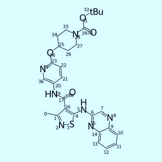 Cc1nsc(Nc2cnc3ccccc3n2)c1C(=O)Nc1ccc(OC2CCN(C(=O)OC(C)(C)C)CC2)nc1